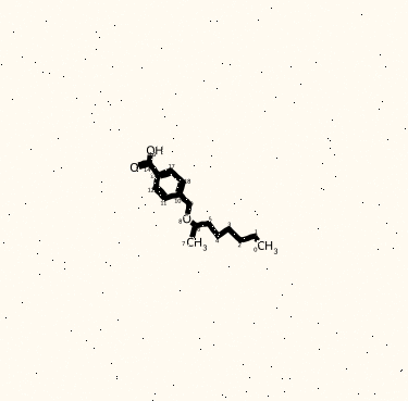 CCCCCCC(C)OCc1ccc(C(=O)O)cc1